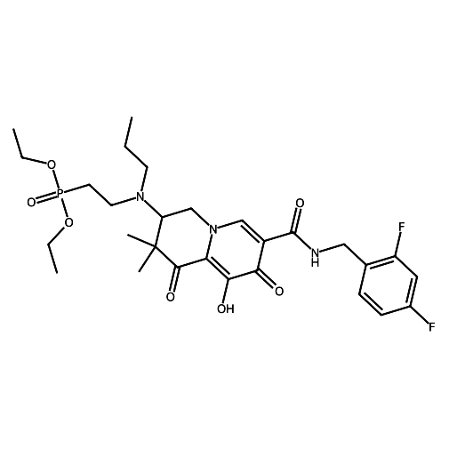 CCCN(CCP(=O)(OCC)OCC)C1Cn2cc(C(=O)NCc3ccc(F)cc3F)c(=O)c(O)c2C(=O)C1(C)C